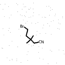 CC(C)(CC#N)CCBr